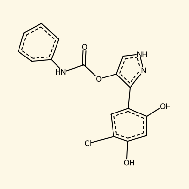 O=C(Nc1ccccc1)Oc1c[nH]nc1-c1cc(Cl)c(O)cc1O